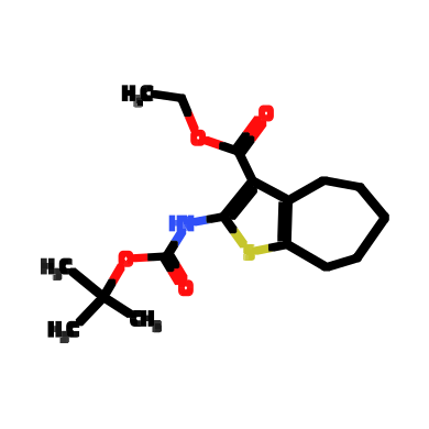 CCOC(=O)c1c(NC(=O)OC(C)(C)C)sc2c1CCCCC2